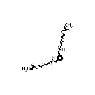 C=CC(=O)OCCOCCONCc1cccc(CNOCCOCCOC(=O)C=C)c1